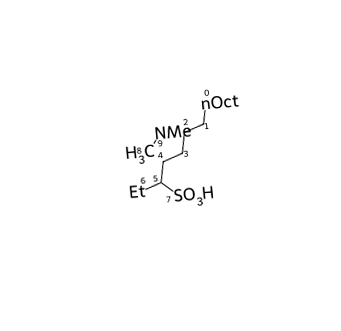 CCCCCCCCCCCCC(CC)S(=O)(=O)O.CNC